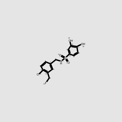 O=S(=O)(NCc1ccc(Cl)c(CF)c1)c1ccc(O)c(O)c1